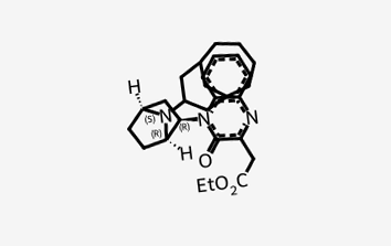 CCOC(=O)Cc1nc2ccccc2n([C@@H]2C[C@@H]3CC[C@H]2N3C2CC3CCCCC(C3)C2)c1=O